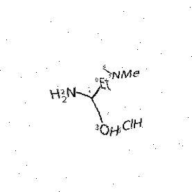 CCC(N)O.CNC.Cl